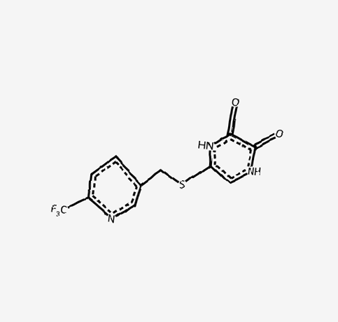 O=c1[nH]cc(SCc2ccc(C(F)(F)F)nc2)[nH]c1=O